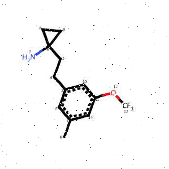 Cc1cc(CCC2(N)CC2)cc(OC(F)(F)F)c1